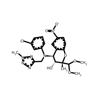 COC(OC)[C@@]1(C)Oc2ccc([N+](=O)[O-])cc2[C@H](N(Cc2nnn(C)n2)c2cccc(Cl)c2)[C@H]1O